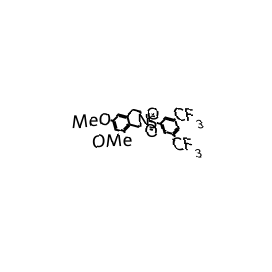 COc1cc2c(c(OC)c1)CN(S(=O)(=O)c1cc(C(F)(F)F)cc(C(F)(F)F)c1)CC2